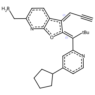 BCc1ccc2c(=C/C#C)/c(=C(/c3cc(C4CCCC4)ccn3)C(C)(C)C)oc2n1